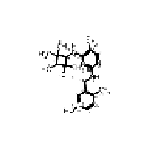 CC1(C)C(O)C(C)(C)C1Nc1nc(NCc2c[n+](O)ccc2C(F)(F)F)ncc1C(F)(F)F